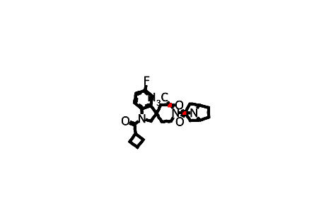 CCOC(=O)N1C2CCC1CC(N1CCC3(CC1)CN(C(=O)C1CCC1)c1ccc(F)cc13)C2